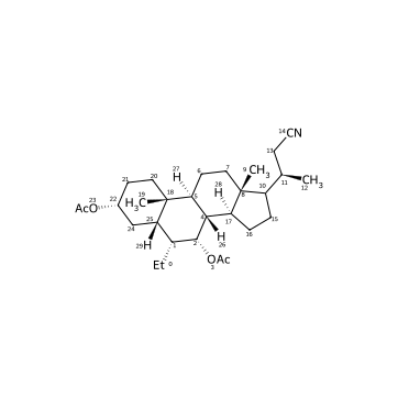 CC[C@H]1[C@@H](OC(C)=O)[C@@H]2[C@H](CC[C@]3(C)C([C@H](C)CC#N)CC[C@@H]23)[C@@]2(C)CC[C@@H](OC(C)=O)C[C@@H]12